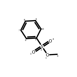 COS(=O)(=O)c1c[c]ccc1